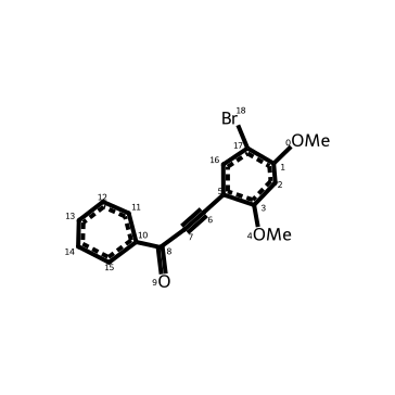 COc1cc(OC)c(C#CC(=O)c2ccccc2)cc1Br